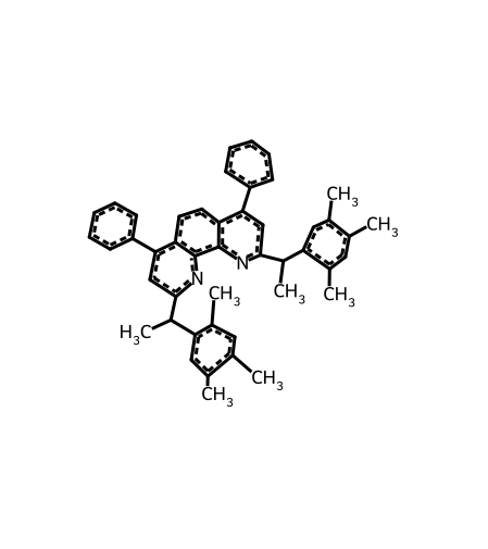 Cc1cc(C)c(C(C)c2cc(-c3ccccc3)c3ccc4c(-c5ccccc5)cc(C(C)c5cc(C)c(C)cc5C)nc4c3n2)cc1C